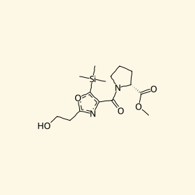 COC(=O)[C@H]1CCCN1C(=O)c1nc(CCO)oc1[Si](C)(C)C